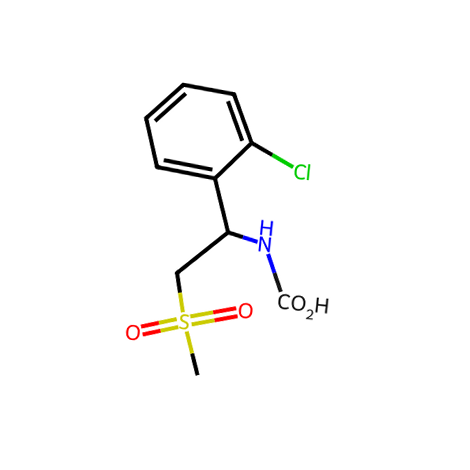 CS(=O)(=O)CC(NC(=O)O)c1ccccc1Cl